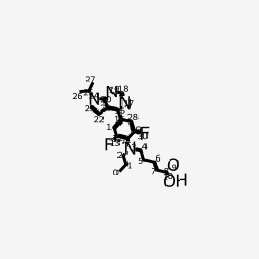 CCCN(CCCCC(=O)O)c1c(F)cc(-c2ncnc3c2ccn3C(C)C)cc1F